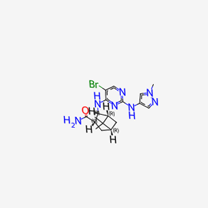 Cn1cc(Nc2ncc(Br)c(N[C@H]3[C@@H](C(N)=O)C[C@H]4C[C@@H]3C4(C)C)n2)cn1